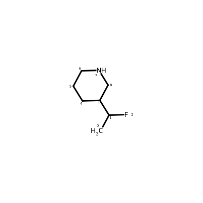 CC(F)C1CCCNC1